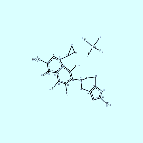 F[B-](F)(F)F.O=C(O)c1cn(C2CC2)c2c(F)c(N3CCc4sc([N+](=O)[O-])cc4C3)c(F)c(F)c2c1=O